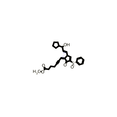 COC(=O)CCCC#C/C=C1\C(=O)C([S+]([O-])c2ccccc2)=CC1/C=C/C(O)C1CCCC1